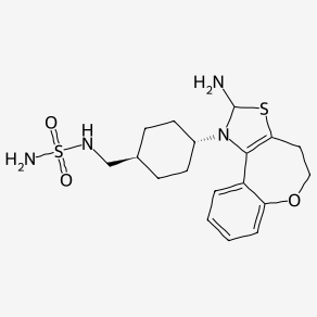 NC1SC2=C(c3ccccc3OCC2)N1[C@H]1CC[C@H](CNS(N)(=O)=O)CC1